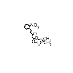 C[Si](C)(C)CCOC(=O)CC(=O)C=Cc1ccccc1[N+](=O)[O-]